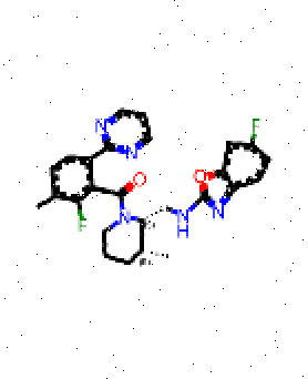 Cc1ccc(-c2ncccn2)c(C(=O)N2CCC[C@@H](C)[C@H]2CNc2nc3ccc(F)cc3o2)c1F